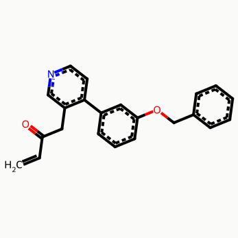 C=CC(=O)Cc1cnccc1-c1cccc(OCc2ccccc2)c1